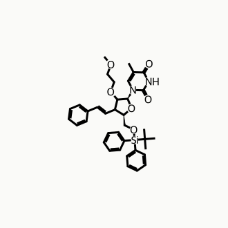 COCCOC1C(C=Cc2ccccc2)[C@H](CO[Si](c2ccccc2)(c2ccccc2)C(C)(C)C)O[C@@H]1n1cc(C)c(=O)[nH]c1=O